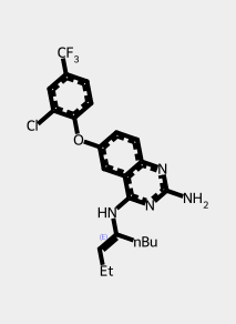 CC/C=C(\CCCC)Nc1nc(N)nc2ccc(Oc3ccc(C(F)(F)F)cc3Cl)cc12